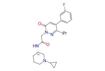 CC(C)c1nn(CC(=O)N[C@H]2CCCN(C3CC3)C2)c(=O)cc1-c1cccc(F)c1